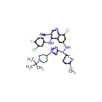 COc1ccc([C@H](Nc2cc(Cl)c3ncc(C#N)c(Nc4ccc(F)c(Cl)c4)c3c2)c2cn(C3CCN(C(C)(C)C)CC3)nn2)cn1